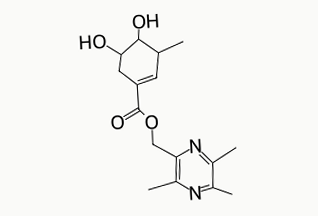 Cc1nc(C)c(COC(=O)C2=CC(C)C(O)C(O)C2)nc1C